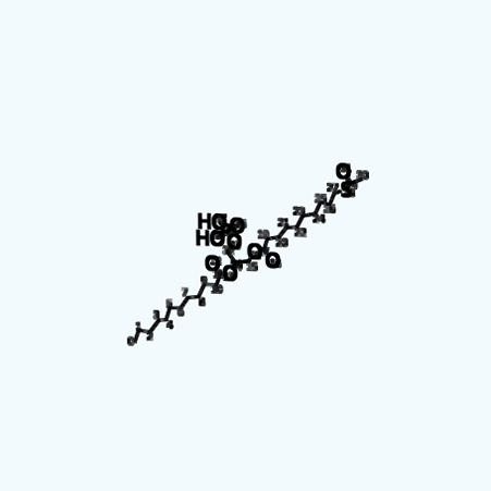 CCCCCCCCCCCC(=O)O[C@H](COC(=O)CCCCCCCCCSC(C)=O)COP(=O)(O)O